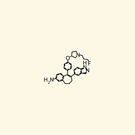 Nc1ccc2c(c1)CCCC(c1ccc3[nH]ncc3c1)=C2c1ccc(O[C@H]2CCN(CCCF)C2)cc1